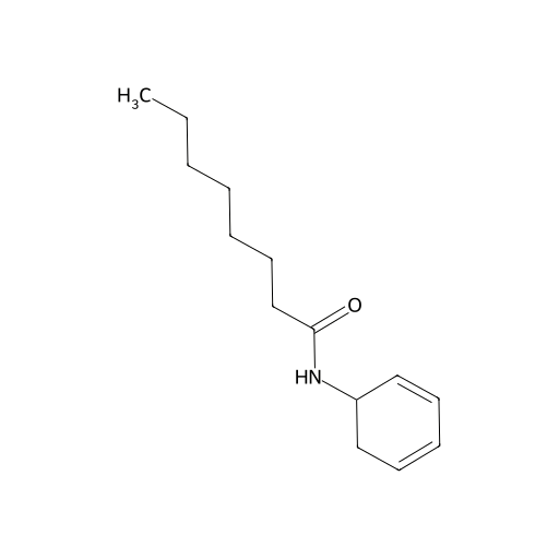 CCCCCCCC(=O)NC1C=CC=CC1